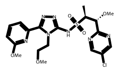 COCCn1c(NS(=O)(=O)[C@@H](C)[C@H](OC)c2ncc(Cl)cn2)nnc1-c1cccc(OC)n1